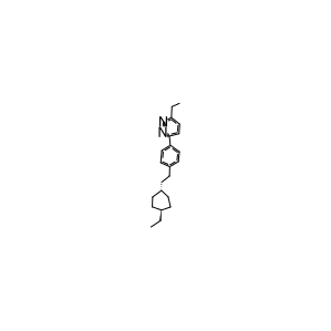 CCc1ccc(-c2ccc(CC[C@H]3CC[C@H](CC)CC3)cc2)nn1